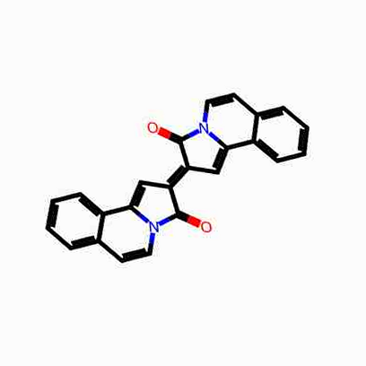 O=C1/C(=C2\C=C3c4ccccc4C=CN3C2=O)C=C2c3ccccc3C=CN12